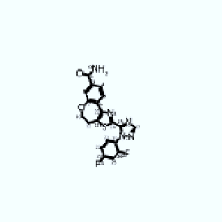 NC(=O)c1ccc2c(c1)OCCc1sc(-c3ncnn3-c3ccc(F)cc3F)nc1-2